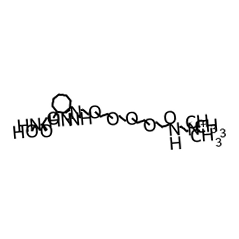 C[N+](C)(C)CCNC(=O)CCOCCOCCOCCOCCN1NNC2=C1CCCCCC2OCC(=O)NO